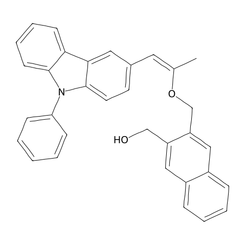 CC(=Cc1ccc2c(c1)c1ccccc1n2-c1ccccc1)OCc1cc2ccccc2cc1CO